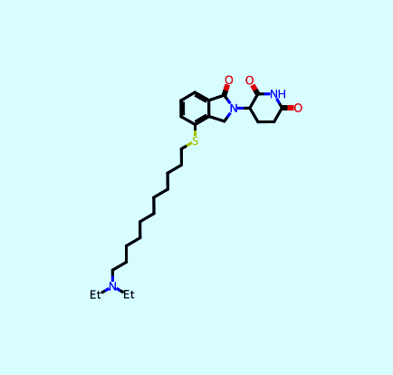 CCN(CC)CCCCCCCCCCCSc1cccc2c1CN(C1CCC(=O)NC1=O)C2=O